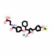 Cc1oc(-c2ccc(OC(F)(F)F)cc2)cc1C(Oc1ccc(C(=O)NCCC(=O)O)cc1)C1CCCCC1